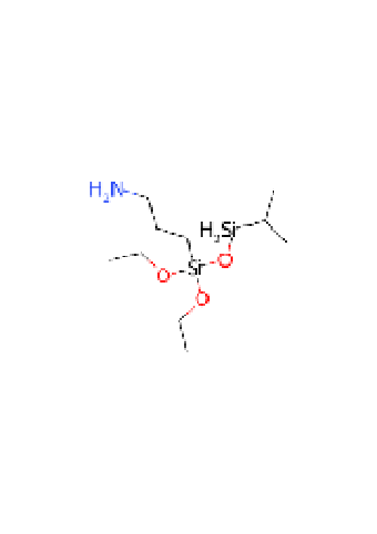 CCO[Si](CCCN)(OCC)O[SiH2]C(C)C